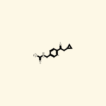 O=C(CC1CC1)c1ccc(CNC(=O)C(F)(F)F)cc1